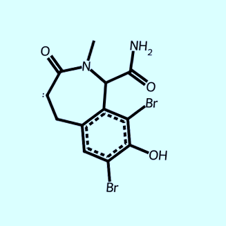 CN1C(=O)[C]Cc2cc(Br)c(O)c(Br)c2C1C(N)=O